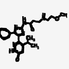 COCCNCCC(=O)Nc1nc(-c2ccccc2)c(-c2n[nH]c(=O)cc2C(C)C)s1